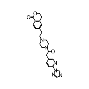 O=C1OCCc2cc(CCN3CCN(C(=O)Cc4ccc(-n5cncn5)nc4)CC3)ccc21